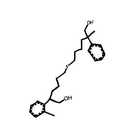 Cc1ccccc1C(CO)CCCCSCCCCC(C)(CO)c1ccccc1